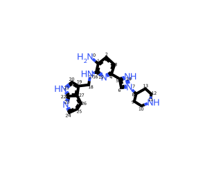 Nc1ccc(-c2cn(C3CCNCC3)[nH]2)nc1NCc1c[nH]c2ncccc12